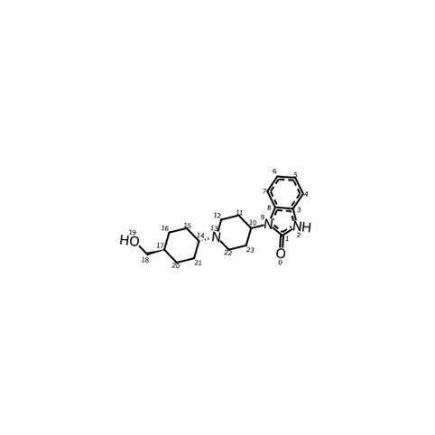 O=c1[nH]c2ccccc2n1C1CCN([C@H]2CC[C@H](CO)CC2)CC1